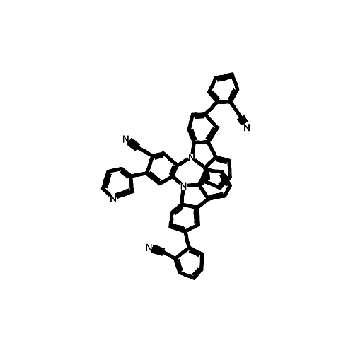 N#Cc1ccccc1-c1ccc2c(c1)c1ccccc1n2-c1cc(C#N)c(-c2cccnc2)cc1-n1c2ccccc2c2cc(-c3ccccc3C#N)ccc21